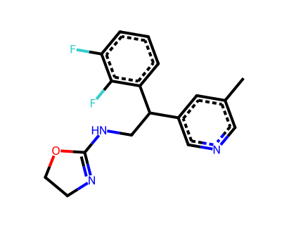 Cc1cncc(C(CNC2=NCCO2)c2cccc(F)c2F)c1